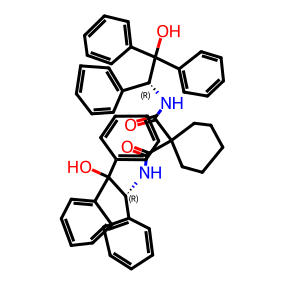 O=C(N[C@H](c1ccccc1)C(O)(c1ccccc1)c1ccccc1)C1(C(=O)N[C@H](c2ccccc2)C(O)(c2ccccc2)c2ccccc2)CCCCC1